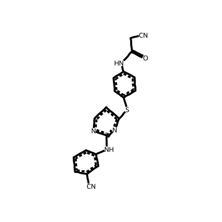 N#CCC(=O)Nc1ccc(Sc2ccnc(Nc3cccc(C#N)c3)n2)cc1